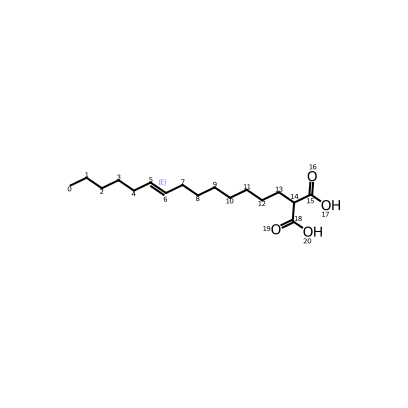 CCCCC/C=C/CCCCCCCC(C(=O)O)C(=O)O